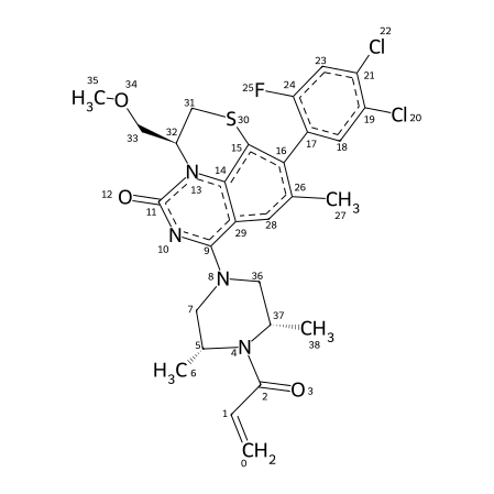 C=CC(=O)N1[C@H](C)CN(c2nc(=O)n3c4c(c(-c5cc(Cl)c(Cl)cc5F)c(C)cc24)SC[C@@H]3COC)C[C@@H]1C